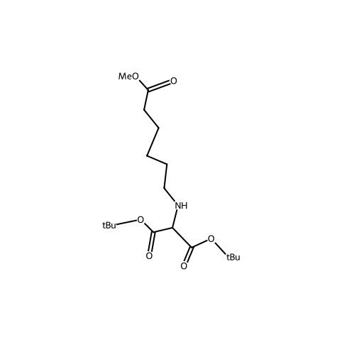 COC(=O)CCCCCNC(C(=O)OC(C)(C)C)C(=O)OC(C)(C)C